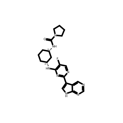 O=C(N[C@H]1CCC[C@@H](Nc2nc(-c3c[nH]c4ncncc34)ncc2F)C1)N1CCCC1